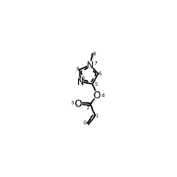 C=CC(=O)Oc1cn(C)cn1